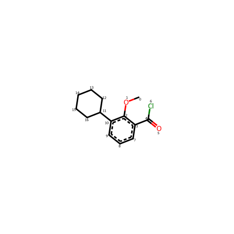 COc1c(C(=O)Cl)cccc1C1CCCCC1